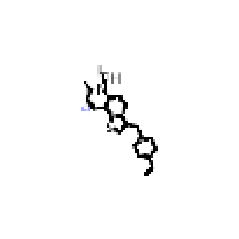 C=Cc1ccc(Cc2csc3c(/C=C\CC)c(NPI)ccc23)cc1